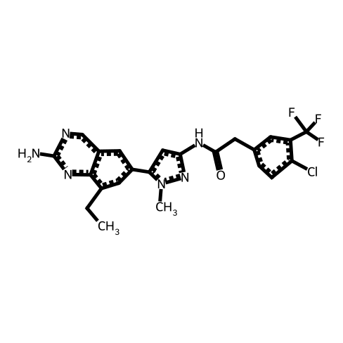 CCc1cc(-c2cc(NC(=O)Cc3ccc(Cl)c(C(F)(F)F)c3)nn2C)cc2cnc(N)nc12